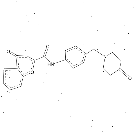 O=C1CCN(Cc2ccc(NC(=O)c3cc(=O)c4ccccc4o3)cc2)CC1